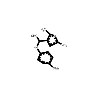 COc1ccc(NC(C=O)c2cc(C)oc2C)cc1